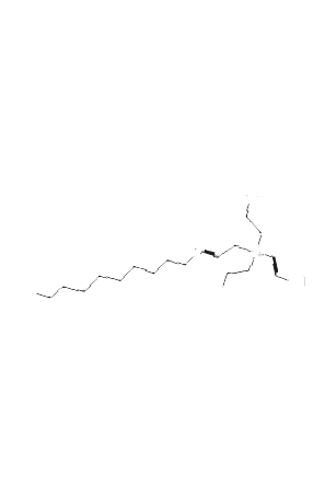 CC=C[Si](CC=NCCCCCCCCCC)(CCC)CCC